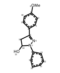 COc1ccc(C2=NN(c3ccccc3)C(O)C2)cc1